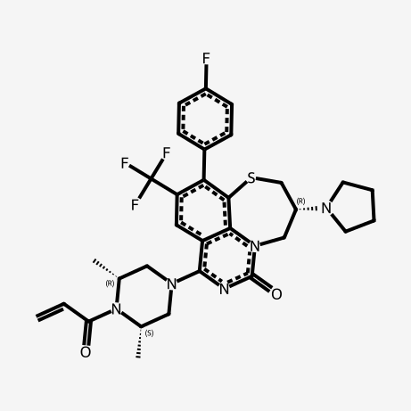 C=CC(=O)N1[C@H](C)CN(c2nc(=O)n3c4c(c(-c5ccc(F)cc5)c(C(F)(F)F)cc24)SC[C@H](N2CCCC2)C3)C[C@@H]1C